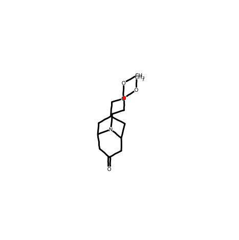 COOCCN1C2CC(=O)CC1CC(COOC)C2